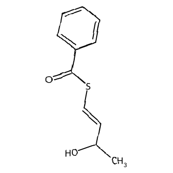 CC(O)C=CSC(=O)c1ccccc1